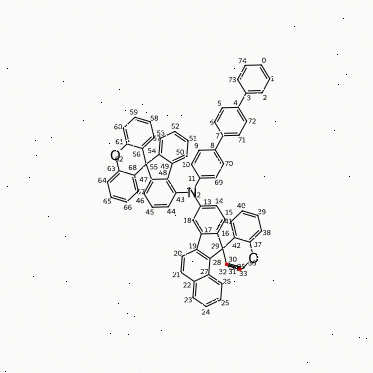 c1ccc(-c2ccc(-c3ccc(N(c4ccc5c(c4)-c4ccc6ccccc6c4C54c5ccccc5Oc5ccccc54)c4cccc5c4-c4ccccc4C54c5ccccc5Oc5ccccc54)cc3)cc2)cc1